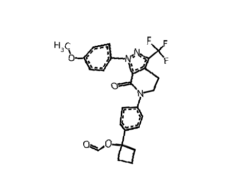 COc1ccc(-n2nc(C(F)(F)F)c3c2C(=O)N(c2ccc(C4(OC=O)CCC4)cc2)CC3)cc1